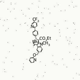 CCOC(=O)C(Cc1ccc(-c2ccc(C(F)(F)F)cn2)cc1)c1c(SC(C)(C)C)c2cc(COc3ccccn3)ccc2n1C